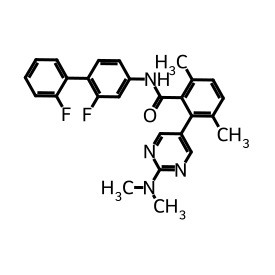 Cc1ccc(C)c(-c2cnc(N(C)C)nc2)c1C(=O)Nc1ccc(-c2ccccc2F)c(F)c1